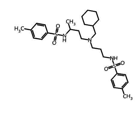 Cc1ccc(S(=O)(=O)NCCCN(CCC(C)NS(=O)(=O)c2ccc(C)cc2)CC2CCCCC2)cc1